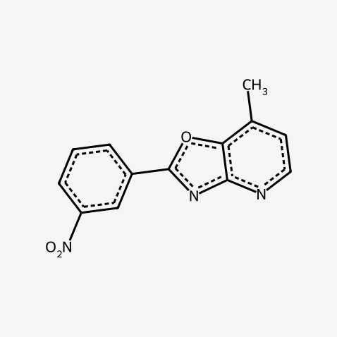 Cc1ccnc2nc(-c3cccc([N+](=O)[O-])c3)oc12